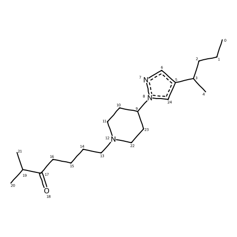 CCCC(C)c1cnn(C2CCN(CCCCC(=O)C(C)C)CC2)c1